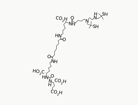 CC(C)(S)CNCCN(CCCCC(=O)N[C@@H](CCCCNC(=O)CCCCCCC(=O)NCCCC[C@H](NC(=O)N[C@@H](CCC(=O)O)C(=O)O)C(=O)O)C(=O)O)CC(C)(C)S